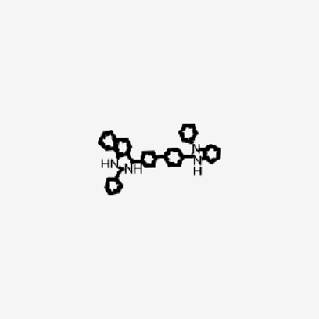 c1ccc(C2Nc3c(ccc4ccccc34)C(c3ccc(-c4ccc(C5Nc6ccccc6N5c5ccccc5)cc4)cc3)N2)cc1